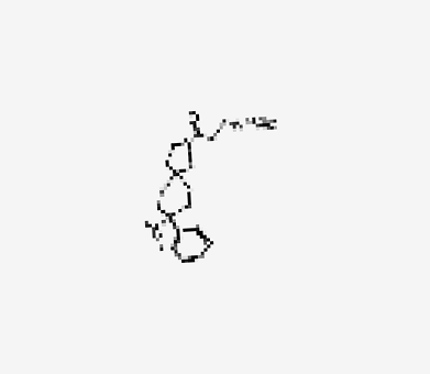 CC(=O)NCCC(=O)N1CCC2(CCC(c3ccccc3)(N(C)C)CC2)C1